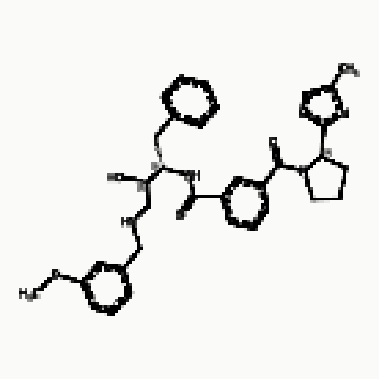 COc1cccc(CNC[C@@H](O)[C@H](Cc2ccccc2)NC(=O)c2cccc(C(=O)N3CCC[C@@H]3c3nc(C)cs3)c2)c1